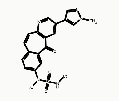 CCNS(=O)(=O)N(C)c1ccc2ccc3ncc(-c4cnn(C)c4)cc3c(=O)c2c1